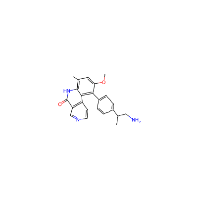 COc1cc(C)c2[nH]c(=O)c3cnccc3c2c1-c1ccc(C(C)CN)cc1